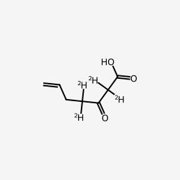 [2H]C([2H])(CC=C)C(=O)C([2H])([2H])C(=O)O